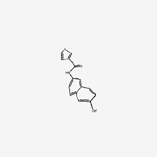 O=C(Nc1ccc2cc(O)ccc2c1)c1ccsc1